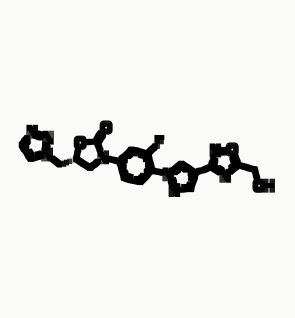 O=C1O[C@@H](Cn2ccnn2)CN1c1ccc(-n2cc(-c3noc(CO)n3)cn2)c(F)c1